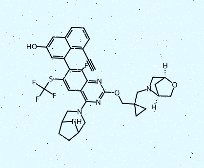 C#Cc1cccc2cc(O)cc(-c3c(SC(F)(F)F)cc4c(N5CC6CCC(C5)N6)nc(OCC5(CN6C[C@@H]7C[C@H]6CO7)CC5)nc4c3F)c12